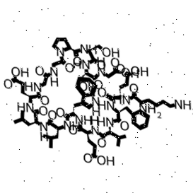 CC(C)C[C@H](NC(=O)[C@H](CC(C)C)NC(=O)[C@H](Cc1c[nH]c2ccccc12)NC(=O)[C@H](CCC(=O)O)NC(=O)[C@@H](NC(=O)[C@H](Cc1ccccc1)NC(=O)[C@H](CCC(=O)O)NC(=O)[C@@H](N)CCCCN)C(C)C)C(=O)N[C@@H](CCC(=O)O)C(=O)NCC(=O)NCC(=O)N1CCC[C@H]1C(=O)N[C@@H](CO)C(=O)N[C@@H](CO)C(=O)NCC(=O)O